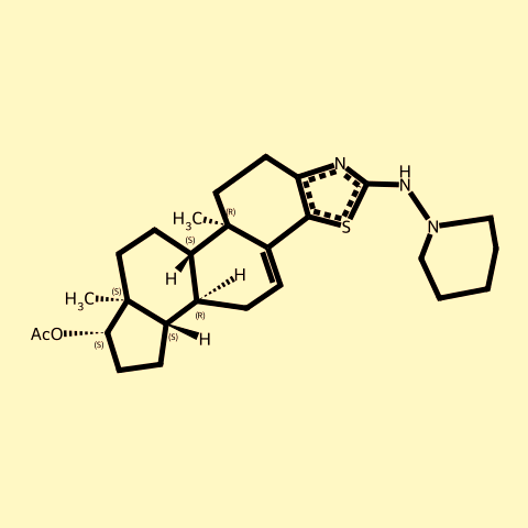 CC(=O)O[C@H]1CC[C@H]2[C@@H]3CC=C4c5sc(NN6CCCCC6)nc5CC[C@]4(C)[C@H]3CC[C@]12C